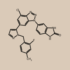 Cc1ccc(Cn2nccc2-c2cc(Cl)c3nnn(-c4ccc5[nH]c(=O)[nH]c5c4)c3c2)c(F)c1